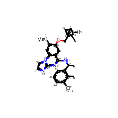 COc1cc2c(cc1OCC13CC(C1)[C@@H]3C)c(NC(C)c1cccc(C(F)(F)F)c1C)nc1nccn12